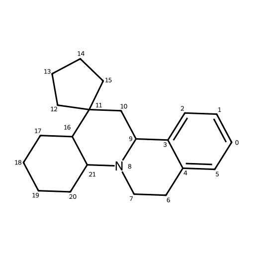 c1ccc2c(c1)CCN1C2CC2(CCCC2)C2CCCCC21